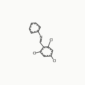 Clc1cc(Cl)c(C=Nc2ccccc2)c(Cl)c1